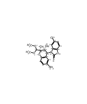 COC(OC)[C@]1(C)Oc2ccc(N)cc2[C@H](n2c(=S)oc3ccc(Cl)cc32)[C@H]1O